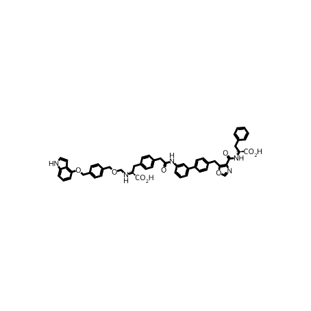 O=C(Cc1ccc(C[C@H](NCOCc2ccc(COc3cccc4[nH]ccc34)cc2)C(=O)O)cc1)Nc1cccc(-c2ccc(Cc3ocnc3C(=O)N[C@@H](Cc3ccccc3)C(=O)O)cc2)c1